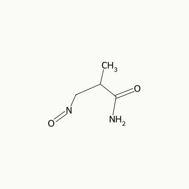 CC(CN=O)C(N)=O